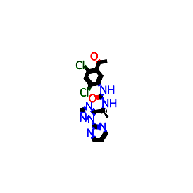 CC(=O)c1cc(NC(=O)N[C@@H](C)c2ncnn2-c2ncccn2)c(Cl)cc1Cl